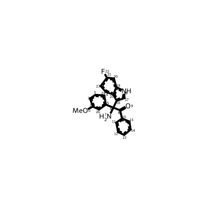 COc1cccc(C(N)(C(=O)c2ccccc2)c2c[nH]c3cc(F)ccc23)c1